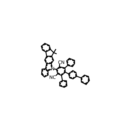 CC1(C)c2ccccc2-c2cc3c4ccccc4n(-c4c(C#N)c(-c5ccccc5)c(-c5ccc(-c6ccccc6)cc5)c(-c5ccccc5)c4C#N)c3cc21